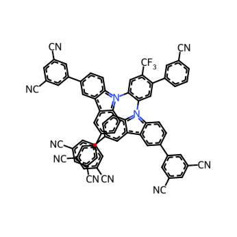 N#Cc1cc(C#N)cc(-c2ccc3c(c2)c2cc(-c4cc(C#N)cc(C#N)c4)ccc2n3-c2cc(-c3cccc(C#N)c3)c(C(F)(F)F)cc2-n2c3ccc(-c4cc(C#N)cc(C#N)c4)cc3c3cc(-c4cc(C#N)cc(C#N)c4)ccc32)c1